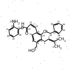 CC(C)=CCc1c(CO)ccc(/C=C\C(=O)Nc2ccccc2N)c1OCc1ccccc1